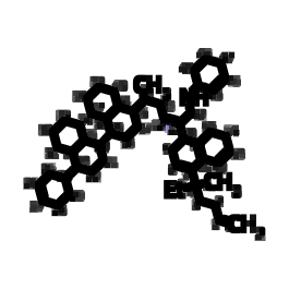 C=CCCC(C)(CC)C1=CCC(/C(=C/CC(C)C2CCC([C@H]3CCC(C4CC=CCC4)C4CCCCC43)C3CCCCC23)CNC2C=CCCC2)C2=C1C=CCC2